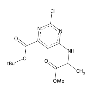 COC(=O)C(C)Nc1cc(C(=O)OC(C)(C)C)nc(Cl)n1